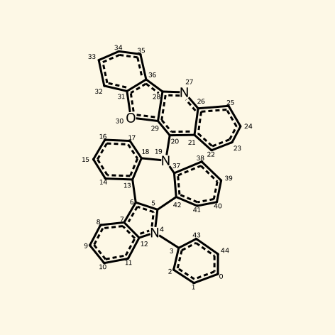 c1ccc(-n2c3c(c4ccccc42)-c2ccccc2N(c2c4ccccc4nc4c2oc2ccccc24)c2ccccc2-3)cc1